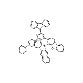 c1ccc(-c2ccc(-c3nc(-c4ccc5c(oc6ccccc65)c4-n4c5ccccc5c5cc6ccccc6cc54)nc(-n4c5ccccc5c5ccccc54)n3)cc2)cc1